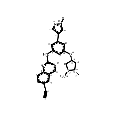 C#Cc1ccc2nc(Nc3cc(O[C@H]4C[C@H](C)N(C(C)(C)C)C4)cc(-c4cnn(C)c4)c3)ncc2c1